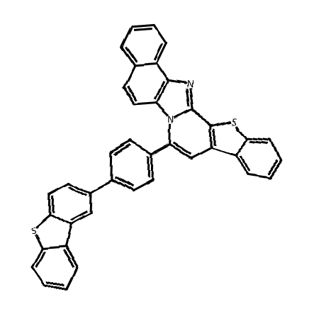 c1ccc2c(c1)ccc1c2nc2c3sc4ccccc4c3cc(-c3ccc(-c4ccc5sc6ccccc6c5c4)cc3)n12